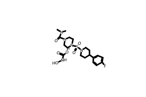 CN(C)C(=O)N1CCN(S(=O)(=O)N2CCC(c3ccc(F)cc3)CC2)[C@H](OC(=O)NO)C1